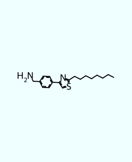 CCCCCCCCc1nc(-c2ccc(CN)cc2)cs1